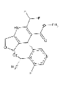 COC(=O)C1=C(C(F)F)NC2=C(C(=O)OC2)[C@H]1c1cncc(F)c1[C@H](C)F